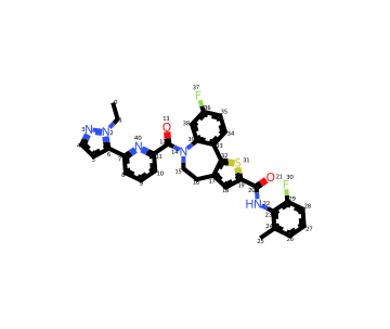 CCn1nccc1-c1cccc(C(=O)N2CCc3cc(C(=O)Nc4c(C)cccc4F)sc3-c3ccc(F)cc32)n1